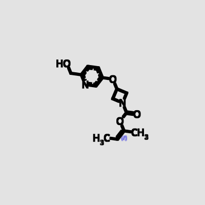 C/C=C(/C)OC(=O)N1CC(Oc2ccc(CO)nc2)C1